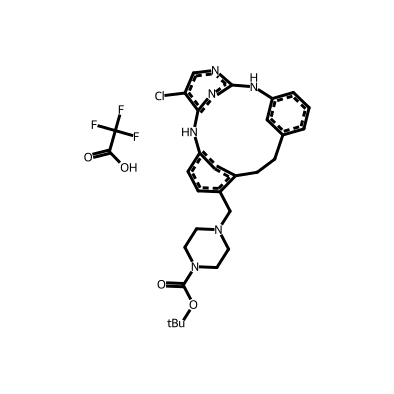 CC(C)(C)OC(=O)N1CCN(Cc2ccc3cc2CCc2cccc(c2)Nc2ncc(Cl)c(n2)N3)CC1.O=C(O)C(F)(F)F